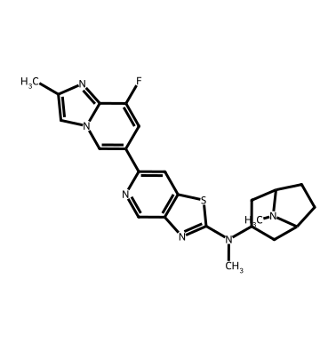 Cc1cn2cc(-c3cc4sc(N(C)C5CC6CCC(C5)N6C)nc4cn3)cc(F)c2n1